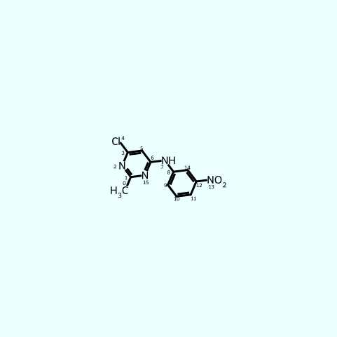 Cc1nc(Cl)cc(Nc2cccc([N+](=O)[O-])c2)n1